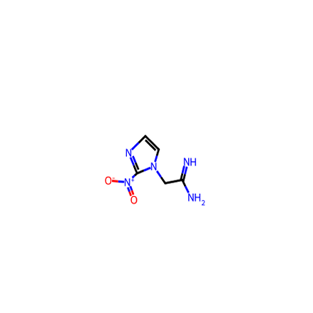 N=C(N)Cn1ccnc1[N+](=O)[O-]